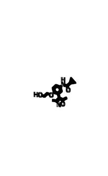 Cc1noc(C)c1-c1cc(NC(=O)C2CC2)ccc1OCCO